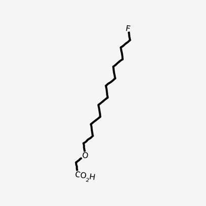 O=C(O)COCCCCCCCCCCCCF